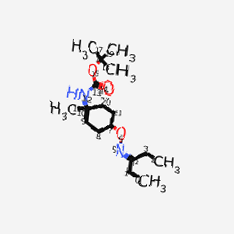 CCC(CC)=NOC1CCC(C)(NC(=O)OC(C)(C)C)CC1